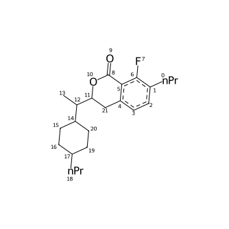 CCCc1ccc2c(c1F)C(=O)OC(C(C)C1CCC(CCC)CC1)C2